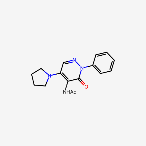 CC(=O)Nc1c(N2CCCC2)cnn(-c2ccccc2)c1=O